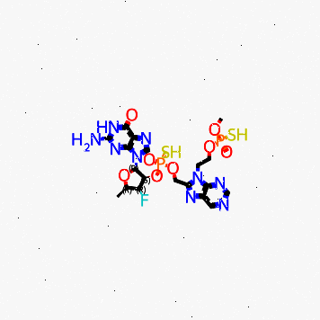 COP(=O)(S)OCCn1c(COP(=O)(S)O[C@@H]2[C@H](F)[C@@H](C)O[C@H]2n2cnc3c(=O)[nH]c(N)nc32)nc2cncnc21